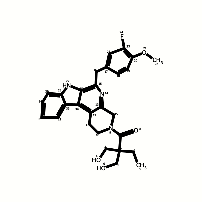 CCC(CO)(CO)C(=O)N1CCc2c(nc(Cc3ccc(OC)c(F)c3)c3[nH]c4ccccc4c23)C1